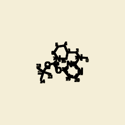 CN(CC1CCCN(C(=O)OC(C)(C)C)C1)c1ncccn1